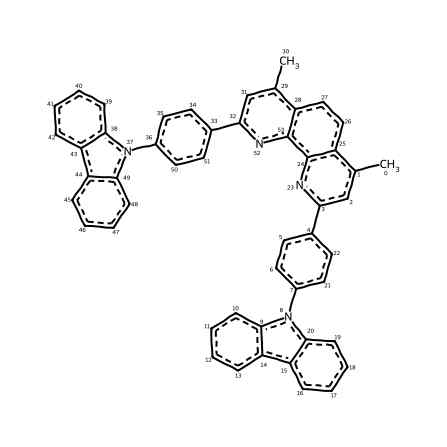 Cc1cc(-c2ccc(-n3c4ccccc4c4ccccc43)cc2)nc2c1ccc1c(C)cc(-c3ccc(-n4c5ccccc5c5ccccc54)cc3)nc12